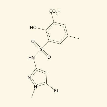 CCc1cc(NS(=O)(=O)c2cc(C)cc(C(=O)O)c2O)nn1C